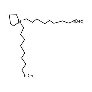 CCCCCCCCCCCCCCCCCC[N+]1(CCCCCCCCCCCCCCCCCC)CCCC1